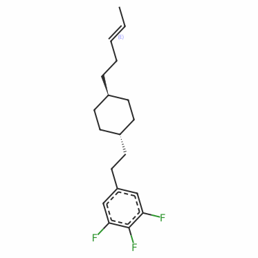 C/C=C/CC[C@H]1CC[C@H](CCc2cc(F)c(F)c(F)c2)CC1